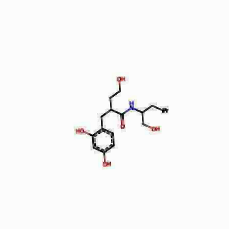 CC(C)CC(CO)NC(=O)C(CCO)Cc1ccc(O)cc1O